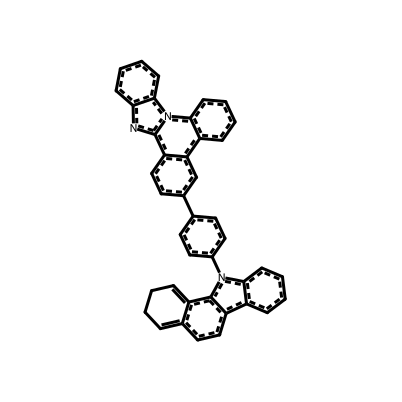 C1=c2ccc3c4ccccc4n(-c4ccc(-c5ccc6c(c5)c5ccccc5n5c7ccccc7nc65)cc4)c3c2=CCC1